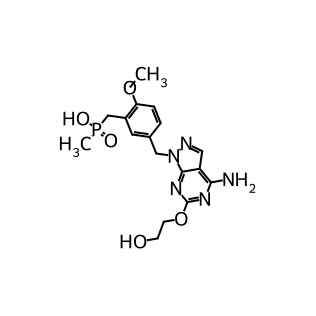 COc1ccc(Cn2ncc3c(N)nc(OCCO)nc32)cc1CP(C)(=O)O